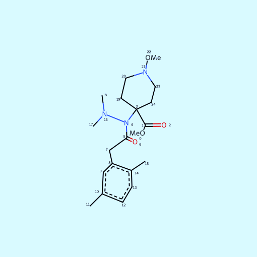 COC(=O)C1(N(C(=O)Cc2cc(C)ccc2C)N(C)C)CCN(OC)CC1